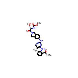 CNC(=O)c1ccccc1Nc1nc(Nc2ccc3c(c2)CCN(C(=O)[C@H](CO)NC(=O)OC(C)(C)C)C3)ncc1C